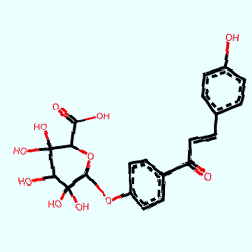 O=C(C=Cc1ccc(O)cc1)c1ccc(OC2OC(C(=O)O)C(O)(O)C(O)C2(O)O)cc1